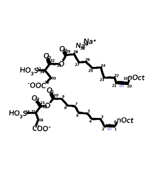 CCCCCCCC/C=C\CCCCCCCC(=O)OC(=O)C(CC(=O)[O-])S(=O)(=O)O.CCCCCCCC/C=C\CCCCCCCC(=O)OC(=O)C(CC(=O)[O-])S(=O)(=O)O.[Na+].[Na+]